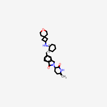 C=C1CCC(N2Cc3cc(C[C@H]4CCCC[C@@H]4NC4CC5(CCOCC5)C4)ccc3C2=O)C(=O)N1